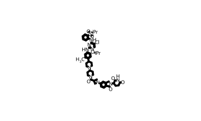 Cc1cc(Nc2ncc(Cl)c(Nc3ccccc3S(=O)(=O)C(C)C)n2)c(OC(C)C)cc1C1CCN(C2CCN(C(=O)C3CN(c4ccc5c(c4)CN(C4CCC(=O)NC4=O)C5=O)C3)CC2)CC1